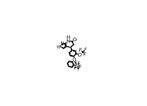 O=C1CC(c2ccc(Oc3ccccc3S(F)(F)(F)(F)F)c(OC(F)(F)F)c2)c2c[nH]nc2N1